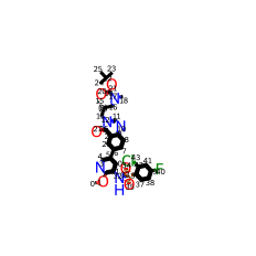 COc1ncc(-c2ccc3ncn(C[C@H](C)CN(C)C(=O)OC(C)(C)C)c(=O)c3c2)cc1NS(=O)(=O)c1ccc(F)cc1Cl